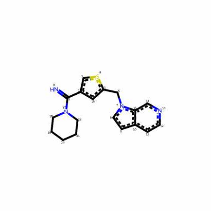 N=C(c1csc(Cn2ccc3ccncc32)c1)N1CCCCC1